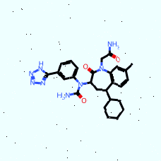 Cc1ccc2c(c1)N(CC(N)=O)C(=O)C(N(C(N)=O)c1cccc(-c3nnn[nH]3)c1)CC2C1CCCCC1